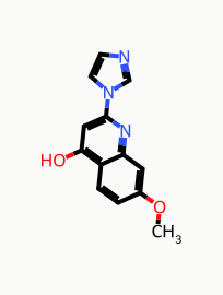 COc1ccc2c(O)cc(-n3ccnc3)nc2c1